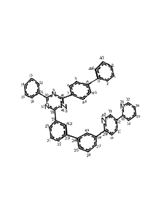 c1ccc(-c2ccc(-c3nc(-c4ccccc4)nc(-c4cccc(-c5cccc(-c6ccc(-c7ccccn7)cn6)c5)c4)n3)cc2)cc1